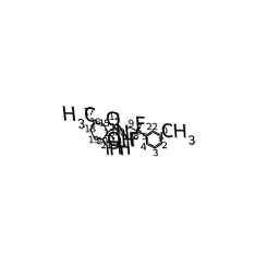 Cc1cccc(C(F)(F)CNC(=O)[C@@]2(O)CC(C)CCC2C(C)C)c1